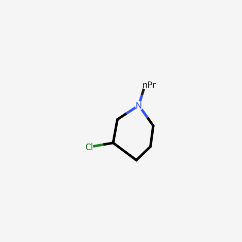 CCCN1CCCC(Cl)C1